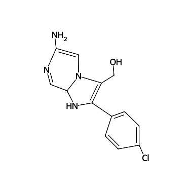 NC1=CN2C(CO)=C(c3ccc(Cl)cc3)NC2C=N1